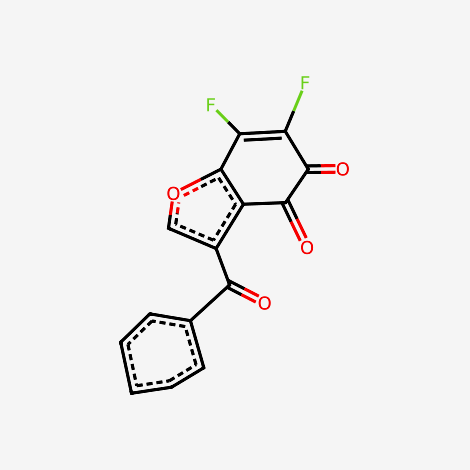 O=C1C(=O)c2c(C(=O)c3ccccc3)coc2C(F)=C1F